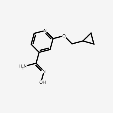 N/C(=N\O)c1ccnc(OCC2CC2)c1